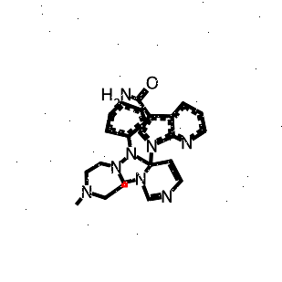 CN1CCN(N(c2ccccc2)C2(n3cc(C(N)=O)c4cccnc43)C=CN=CN2C)CC1